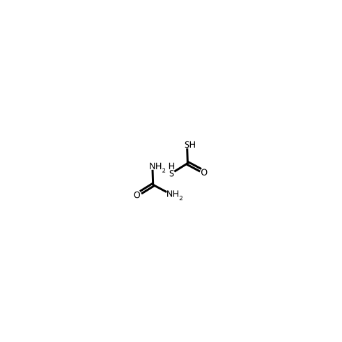 NC(N)=O.O=C(S)S